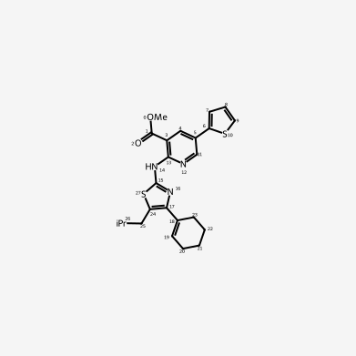 COC(=O)c1cc(-c2cccs2)cnc1Nc1nc(C2=CCCCC2)c(CC(C)C)s1